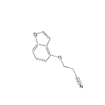 N#CCCOc1cccc2occc12